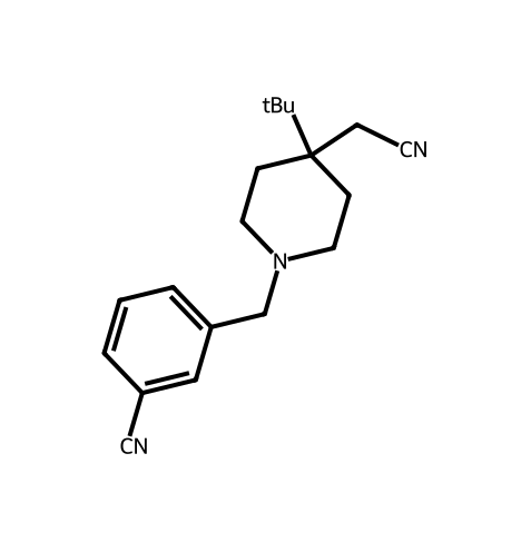 CC(C)(C)C1(CC#N)CCN(Cc2cccc(C#N)c2)CC1